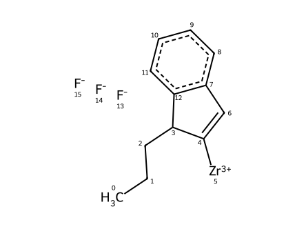 CCCC1[C]([Zr+3])=Cc2ccccc21.[F-].[F-].[F-]